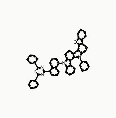 c1ccc(-c2nc(-c3ccccc3)nc(-c3cccc4c(-n5c6ccccc6c6c5ccc5c7c8oc9ccccc9c8ccc7n(-c7ccccc7)c56)cccc34)n2)cc1